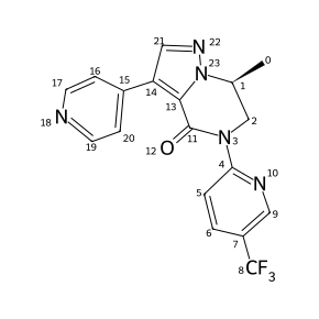 C[C@H]1CN(c2ccc(C(F)(F)F)cn2)C(=O)c2c(-c3ccncc3)cnn21